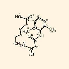 CCCCCC(=O)O.CCN(CC)CC(=O)Nc1c(C)cccc1C